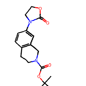 CC(C)(C)OC(=O)N1CCc2ccc(N3CCOC3=O)cc2C1